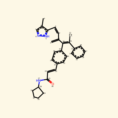 C=C(/C=C\c1[nH]ncc1C)/C(=C(\CC)c1ccccc1)c1ccc(/C=C/C(=O)NC2CCCC2)cc1